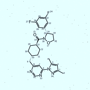 Cc1cc(C)n(-c2cc(C[C@H]3CC[C@H](C(=O)N4OCC[C@H]4c4cc(F)cc(F)c4)CC3)ncn2)n1